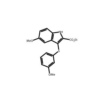 CCOC(=O)c1[nH]c2ccc(OC)cc2c1Sc1cccc(OC)c1